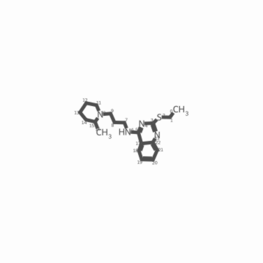 CCSc1nc(NCCCN2CCCCC2C)c2ccccc2n1